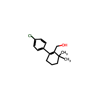 CC1(C)CCCC(c2ccc(Cl)cc2)=C1CO